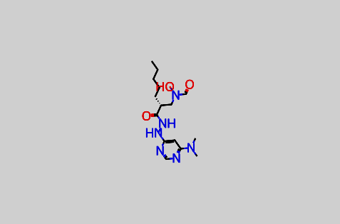 CCCCC[C@H](CN(O)C=O)C(=O)NNc1cc(N(C)C)ncn1